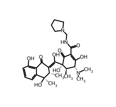 C[C@@H]1[C@@H](N(C)C)C(O)=C(C(=O)NCN2CCCC2)C(=O)[C@]1(O)/C(O)=C1/C(=O)c2c(O)cccc2[C@](C)(O)[C@H]1C